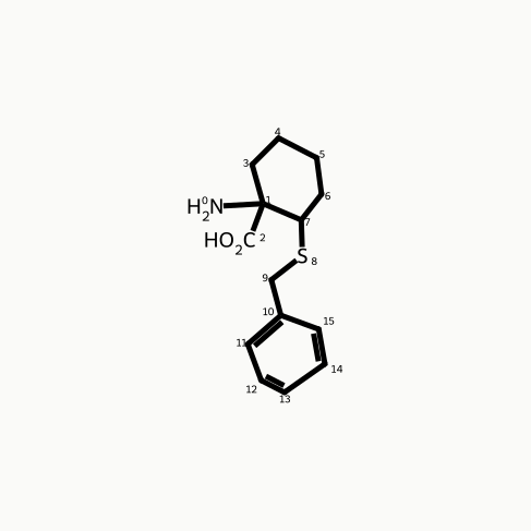 NC1(C(=O)O)CCCCC1SCc1ccccc1